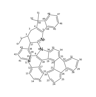 CCC1CC2=C(N=C(n3c4ccc5ccccc5c4c4c5c6ccccc6c6ccccc6c5ccc43)C1c1ccccc1)c1ccccc1C2(C)C